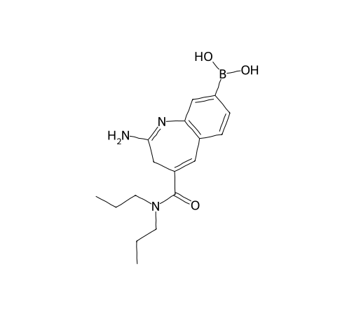 CCCN(CCC)C(=O)C1=Cc2ccc(B(O)O)cc2N=C(N)C1